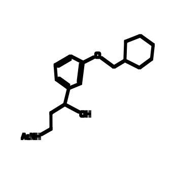 CC(=O)NCCC(O)c1cccc(OCC2CCCCC2)c1